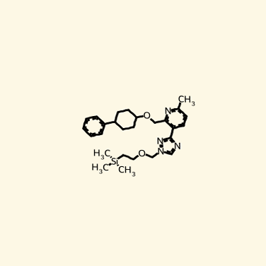 Cc1ccc(-c2ncn(COCC[Si](C)(C)C)n2)c(COC2CCC(c3ccccc3)CC2)n1